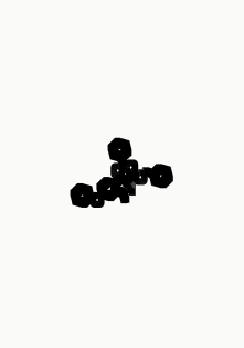 Cc1nc(C(=O)OCc2ccccc2)c(OCc2ccccc2)c2ccc(Oc3ccccc3)cc12